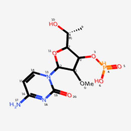 COC1C(O[PH](=O)O)C([C@@H](C)O)OC1n1ccc(N)nc1=O